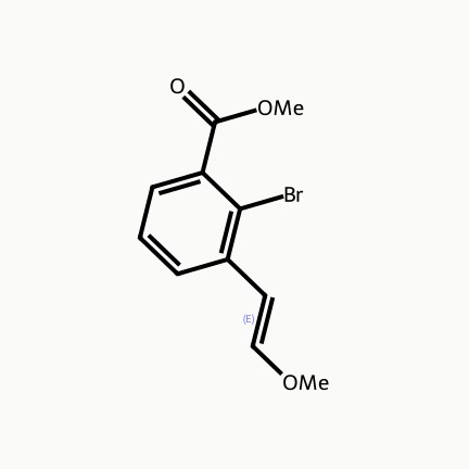 CO/C=C/c1cccc(C(=O)OC)c1Br